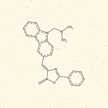 CN(C)Cn1c2ccccc2c2cc(/C=C3\N=C(c4ccccc4)OC3=O)ccc21